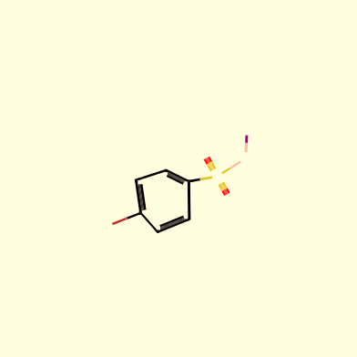 O=S(=O)(BI)c1ccc(Br)cc1